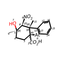 CC(=O)[C@@]1(C(=O)O)CC[C@@](C)(O)[C@@H]([N+](=O)[O-])[C@]1(C)c1ccccc1